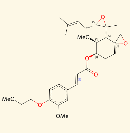 COCCOc1ccc(/C=C/C(=O)O[C@@H]2CC[C@]3(CO3)[C@@H](C3(C)O[C@H]3CC=C(C)C)[C@@H]2OC)cc1OC